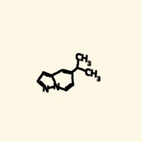 CC(C)c1ccn2nccc2c1